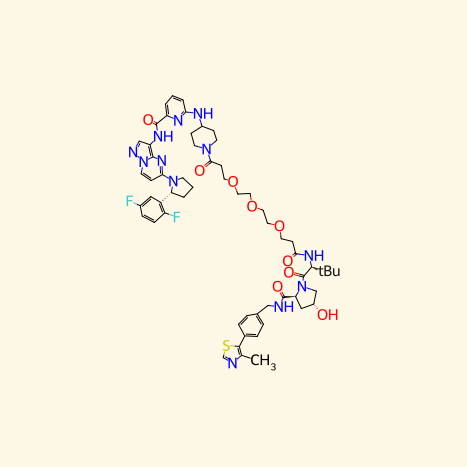 Cc1ncsc1-c1ccc(CNC(=O)[C@@H]2C[C@@H](O)CN2C(=O)[C@@H](NC(=O)CCOCCOCCOCCC(=O)N2CCC(Nc3cccc(C(=O)Nc4cnn5ccc(N6CCC[C@@H]6c6cc(F)ccc6F)nc45)n3)CC2)C(C)(C)C)cc1